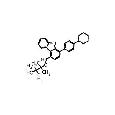 CC(C)(O)C(C)(C)OBc1ccc(-c2ccc(C3CCCCC3)cc2)c2oc3ccccc3c12